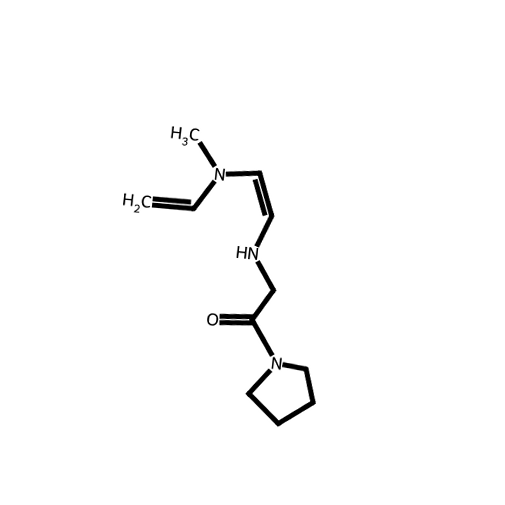 C=CN(C)/C=C\NCC(=O)N1CCCC1